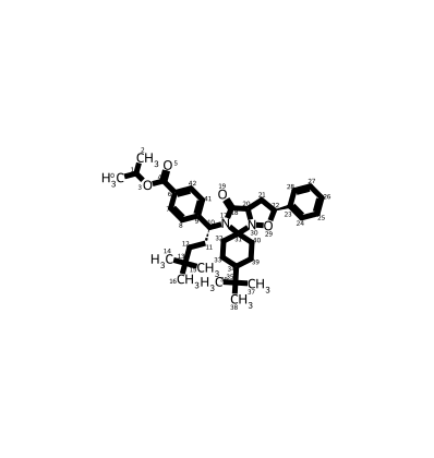 CC(C)OC(=O)c1ccc([C@@H](CCC(C)(C)C)N2C(=O)C3C[C@@H](c4ccccc4)ON3C23CCC(C(C)(C)C)CC3)cc1